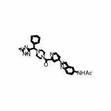 CC(=O)Nc1ccc2nn(-c3ccnc(C(=O)N4CCN(C(c5ccccc5)c5nnn(C)n5)CC4)c3)cc2c1